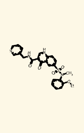 CCOc1ccccc1N(C)S(=O)(=O)c1ccc2[nH]cc(C(=O)NCc3cccnc3)c(=O)c2c1